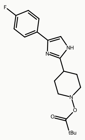 CC(C)(C)C(=O)ON1CCC(c2nc(-c3ccc(F)cc3)c[nH]2)CC1